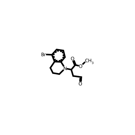 COC(=O)C(CC=O)N1CCCc2c(Br)cccc21